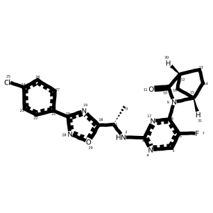 C[C@H](Nc1ncc(F)c(N2C(=O)[C@@H]3CC[C@H]2C3)n1)c1nc(-c2ccc(Cl)cc2)no1